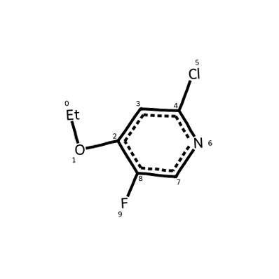 CCOc1cc(Cl)ncc1F